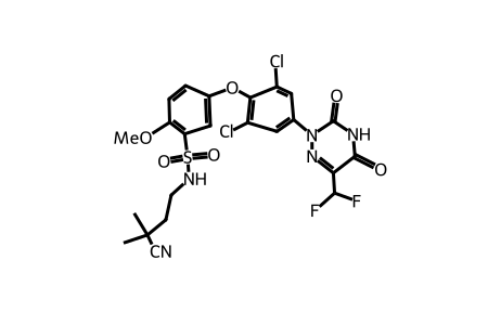 COc1ccc(Oc2c(Cl)cc(-n3nc(C(F)F)c(=O)[nH]c3=O)cc2Cl)cc1S(=O)(=O)NCCC(C)(C)C#N